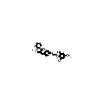 Cc1cc(Cl)c(OCCOc2ccc(CC(CN)C(=O)N3CCCCC3)cn2)c(Cl)c1